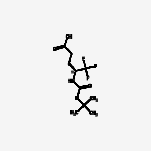 CC(C)(C)OC(=O)N[C@@H](CCC(=O)O)C(F)(F)F